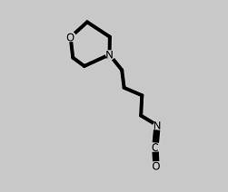 O=C=NCCCCN1CCOCC1